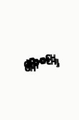 CC(C)c1ccc(-c2ccc3c(c2)CCC2(CC2)C3NC(=O)O)cc1